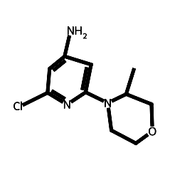 CC1COCCN1c1cc(N)cc(Cl)n1